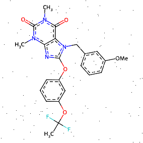 COc1cccc(Cn2c(Oc3cccc(OC(C)(F)F)c3)nc3c2c(=O)n(C)c(=O)n3C)c1